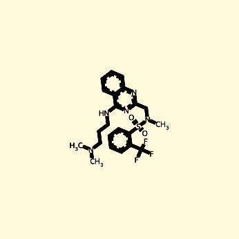 CN(C)CCCNc1nc(CN(C)S(=O)(=O)c2ccccc2C(F)(F)F)nc2ccccc12